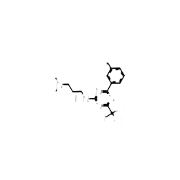 CN(C)CCCNc1nc(-c2cccc(Cl)c2)nc(C(Cl)(Cl)Cl)n1